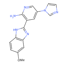 COc1ccc2[nH]c(-c3cc(-n4ccnc4)cnc3N)nc2c1